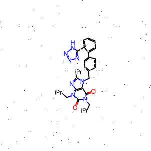 CC(C)Cn1c(=O)c2c(nc(C(C)C)n2Cc2ccc(-c3ccccc3-c3nnn[nH]3)cc2)n(CC(C)C)c1=O